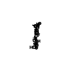 COc1cnc2c(-c3nc4cc(F)c(OC[C@@H](C)OC(=O)Nc5cnc(C(=O)O)nc5)nc4s3)cc(C)cc2n1